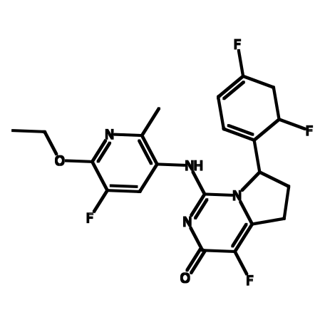 CCOc1nc(C)c(Nc2nc(=O)c(F)c3n2C(C2=CC=C(F)CC2F)CC3)cc1F